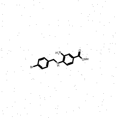 COC(=O)c1ccc(NCc2ccc(Br)cc2)c(N)c1